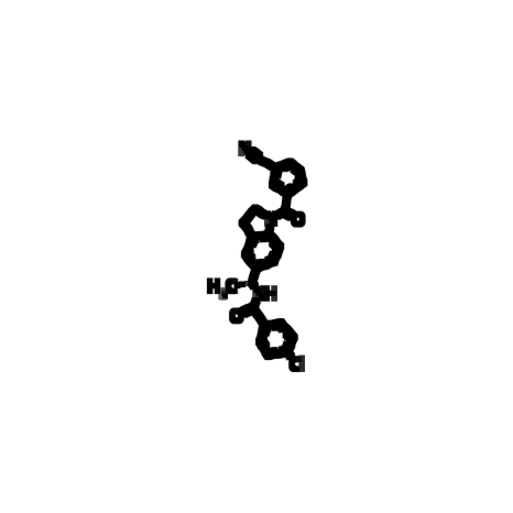 C[C@@H](NC(=O)c1ccc(Cl)cc1)c1ccc2c(c1)CCN2C(=O)c1cccc(C#N)c1